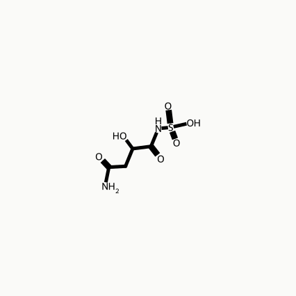 NC(=O)CC(O)C(=O)NS(=O)(=O)O